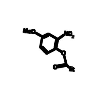 CCC(=O)Oc1ccc(OC)cc1[N+](=O)[O-]